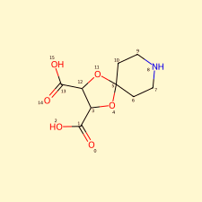 O=C(O)C1OC2(CCNCC2)OC1C(=O)O